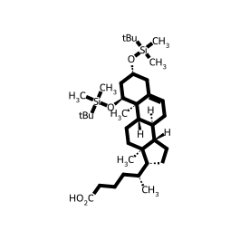 C[C@H](CCCC(=O)O)[C@H]1CC[C@H]2[C@@H]3CC=C4C[C@@H](O[Si](C)(C)C(C)(C)C)C[C@H](O[Si](C)(C)C(C)(C)C)[C@]4(C)[C@H]3CC[C@]12C